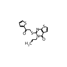 C=CCn1c(SCC(=O)c2cccs2)nc2sccc2c1=O